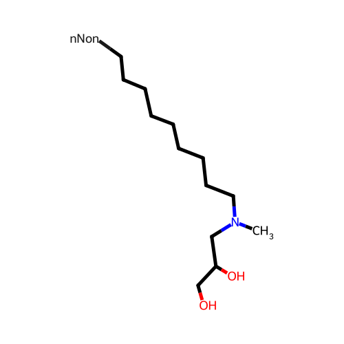 CCCCCCCCCCCCCCCCCCN(C)CC(O)CO